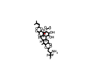 COC(=O)[C@@]12OC[C@]34C([C@@H](O)[C@@H]1O)[C@@]1(C)CC(=O)C(OC(=O)C[C@@H](N)C(F)(F)F)=C(C)[C@@H]1C[C@H]3OC(=O)[C@H](OC(=O)C=C(C)C)[C@@H]24